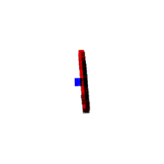 CCCCCCCCCCCCCCCCCCCCCCCCCCCCNCCCCCCCCCCCCCCCCCCCCCCCCCCCC